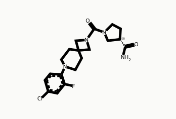 NC(=O)[C@H]1CCN(C(=O)N2CC3(CCN(c4ccc(Cl)cc4F)CC3)C2)C1